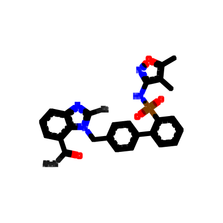 CCc1nc2cccc(C(=O)NC)c2n1Cc1ccc(-c2ccccc2S(=O)(=O)Nc2noc(C)c2C)cc1